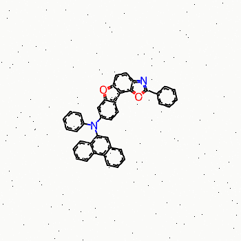 c1ccc(-c2nc3ccc4oc5cc(N(c6ccccc6)c6cc7ccccc7c7ccccc67)ccc5c4c3o2)cc1